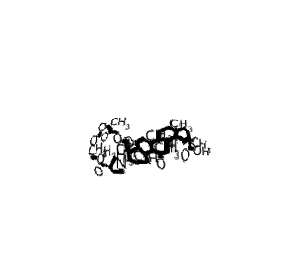 CCOC(=O)[C@@H]1CCN([C@H]2CC[C@@]3(C)[C@@H](CC[C@]4(C)[C@@H]3C(=O)C=C3[C@@H]5C[C@@](C)(C(=O)O)CC[C@]5(C)CC[C@]34C)[C@]2(C)C(=O)OCc2oc(=O)oc2C)C1